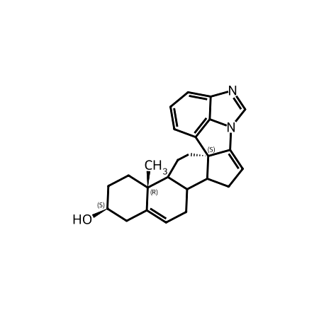 C[C@]12CC[C@H](O)CC1=CCC1C2CC[C@]23C(=CCC12)n1cnc2cccc3c21